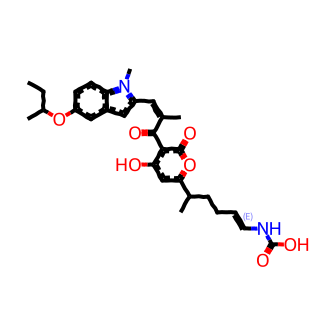 CCC(C)Oc1ccc2c(c1)cc(C=C(C)C(=O)c1c(O)cc(C(C)CC/C=C/NC(=O)O)oc1=O)n2C